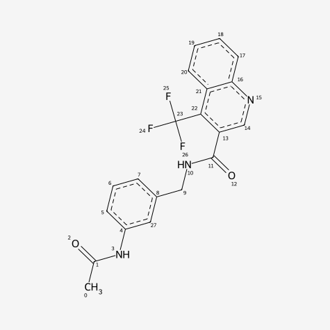 CC(=O)Nc1cccc(CNC(=O)c2cnc3ccccc3c2C(F)(F)F)c1